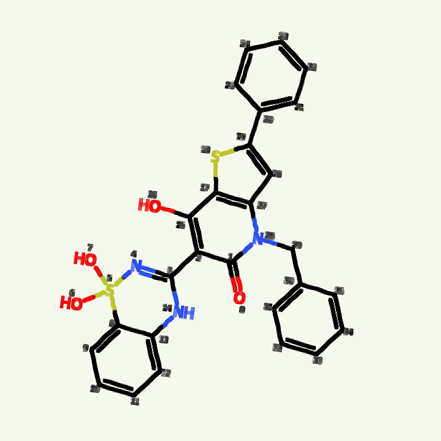 O=c1c(C2=NS(O)(O)c3ccccc3N2)c(O)c2sc(-c3ccccc3)cc2n1Cc1ccccc1